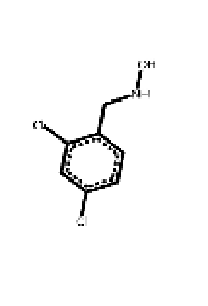 ONCc1ccc(Cl)cc1Cl